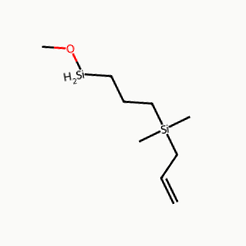 C=CC[Si](C)(C)CCC[SiH2]OC